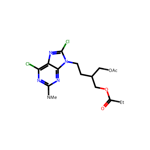 CCC(=O)OCC(CCn1c(Cl)nc2c(Cl)nc(NC)nc21)COC(C)=O